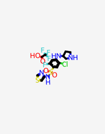 O=C(O)C(F)(F)F.O=S(=O)(Nc1cscn1)c1cc(Cl)c(NC2CCNC2)cc1F